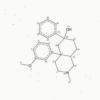 COc1cccc(C23CCN(C)CC2CCC(O)(c2ccccc2)C3)c1